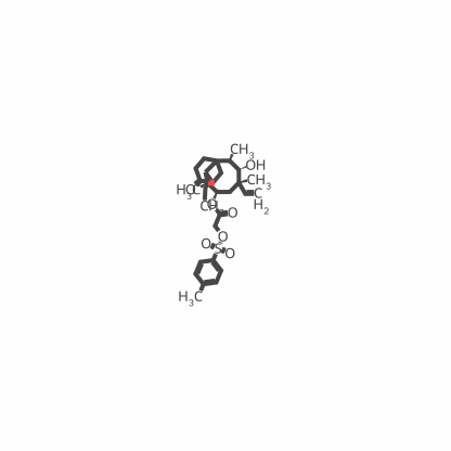 C=C[C@]1(C)C[C@@H](OC(=O)COS(=O)(=O)c2ccc(C)cc2)[C@]2(C)C(C)CC34CC(CCC3=O)(C42)[C@@H](C)[C@@H]1O